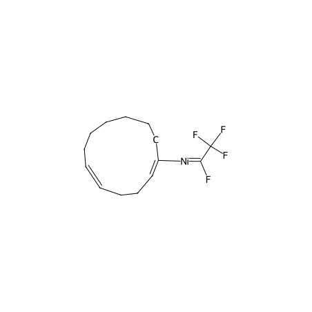 F[C](=[Ni][C]1=CCCC=CCCCCCC1)C(F)(F)F